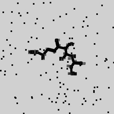 CCCN(C(=O)C=CNC(=O)O)C(CC)NC(=O)OC(C)(C)C